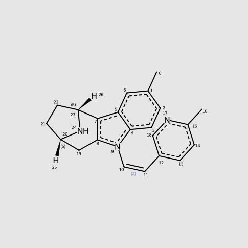 Cc1ccc2c(c1)c1c(n2/C=C\c2ccc(C)nc2)C[C@@H]2CC[C@H]1N2